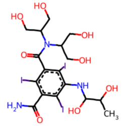 CC(O)C(O)Nc1c(I)c(C(N)=O)c(I)c(C(=O)N(C(CO)CO)C(CO)CO)c1I